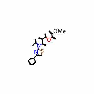 C=C(OC)C(=C)OC(=C)C(=C)C(=C)N(C(=C)C)c1nc(-c2ccccc2)cs1